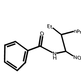 CCCC(CC)C(N=O)NC(=O)c1ccccc1